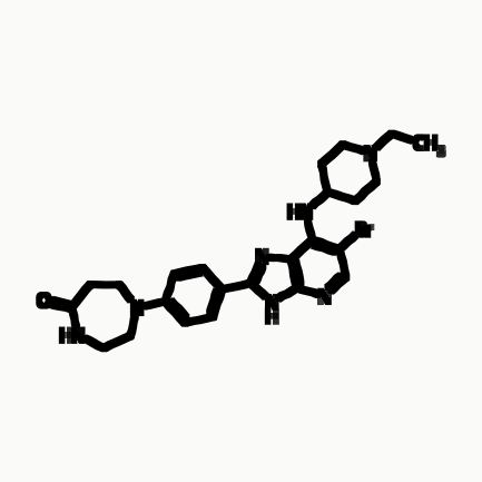 CCN1CCC(Nc2c(Br)cnc3[nH]c(-c4ccc(N5CCNC(=O)CC5)cc4)nc23)CC1